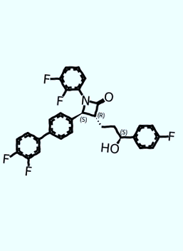 O=C1[C@H](CC[C@H](O)c2ccc(F)cc2)[C@@H](c2ccc(-c3ccc(F)c(F)c3)cc2)N1c1cccc(F)c1F